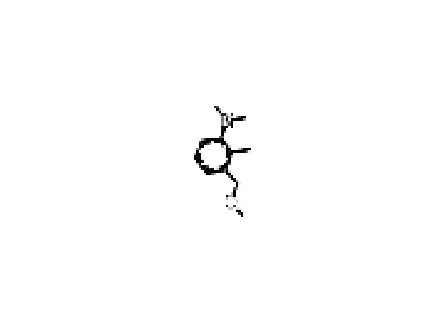 COCc1ccc[c]([Bi]([CH3])[CH3])c1C